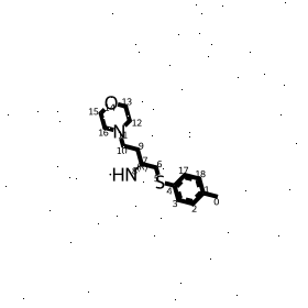 Cc1ccc(SC[C@H]([NH])CCN2CCOCC2)cc1